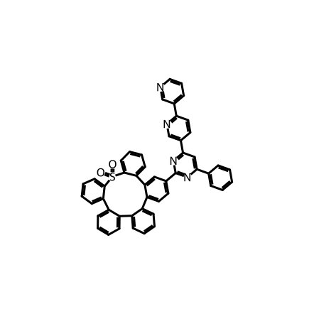 O=S1(=O)c2ccccc2-c2ccccc2-c2ccccc2-c2ccc(-c3nc(-c4ccccc4)cc(-c4ccc(-c5cccnc5)nc4)n3)cc2-c2ccccc21